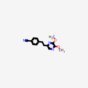 COc1ncc(CCc2ccc(C#N)cc2)nc1OC